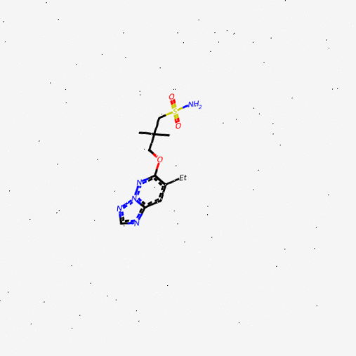 CCc1cc2ncnn2nc1OCC(C)(C)CS(N)(=O)=O